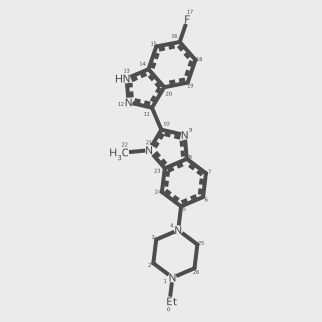 CCN1CCN(c2ccc3nc(-c4n[nH]c5cc(F)ccc45)n(C)c3c2)CC1